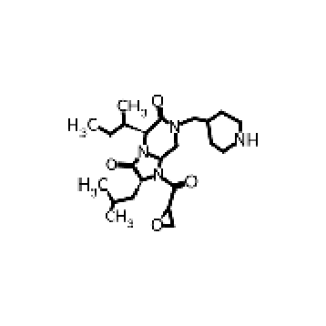 CCC(C)[C@H]1C(=O)N(CC2CCNCC2)CC2N1C(=O)[C@H](CC(C)C)N2C(=O)C1CO1